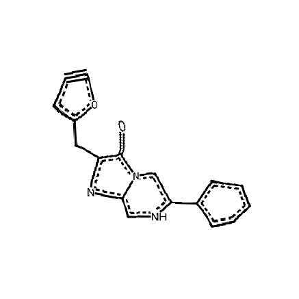 O=c1c(Cc2cc#co2)nc2c[nH]c(-c3ccccc3)cn1-2